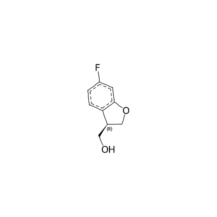 OC[C@@H]1COc2cc(F)ccc21